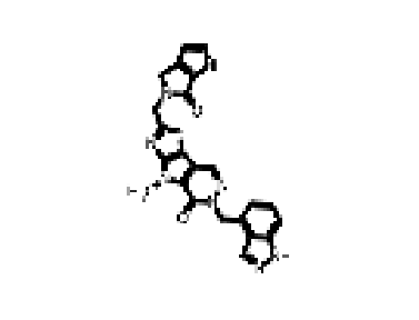 Cn1c2nc(CN3Cc4cc[nH]c4C3=O)sc2c2cnn(Cc3cccc4[nH]ncc34)c(=O)c21